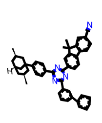 C[C@@H]1C[C@@H]2C[C@H](C)CC(c3ccc(-c4nc(-c5cccc(-c6ccccc6)c5)nc(-c5ccc6c(c5)C(C)(C)c5cc(C#N)ccc5-6)n4)cc3)(C1)C2